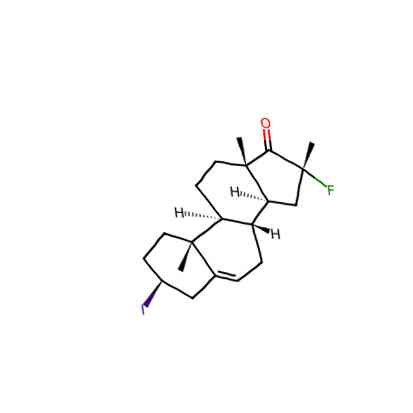 C[C@]12CC[C@H](I)CC1=CC[C@@H]1[C@@H]2CC[C@]2(C)C(=O)[C@](C)(F)C[C@@H]12